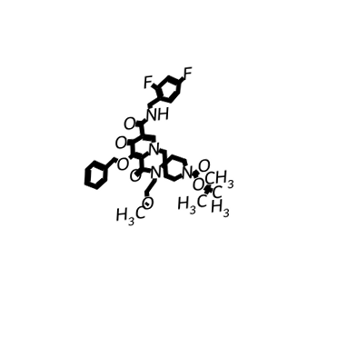 COCCN1C(=O)c2c(OCc3ccccc3)c(=O)c(C(=O)NCc3ccc(F)cc3F)cn2CC12CCN(C(=O)OC(C)(C)C)CC2